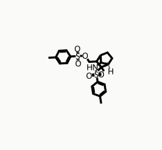 Cc1ccc(S(=O)(=O)NC2C3CC[C@H]2C(C)(C)C3COS(=O)(=O)c2ccc(C)cc2)cc1